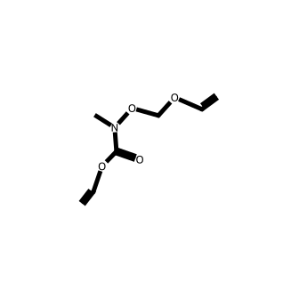 C=COCON(C)C(=O)OC=C